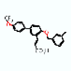 Cc1cccc(COc2ccc(-c3ccc(OC(F)(F)F)cc3)cc2C=CC(=O)O)c1